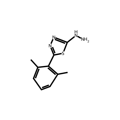 Cc1cccc(C)c1-c1nnc(NN)s1